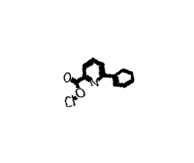 O=C(OCl)c1cccc(-c2ccccc2)n1